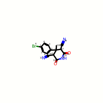 CC1(c2ccc(Br)cc2)C(C#N)C(=O)NC(=O)C1C#N